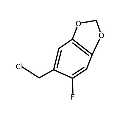 Fc1cc2c(cc1CCl)OCO2